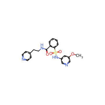 COc1cncc(NS(=O)(=O)c2ccccc2C(=O)NCCc2ccncc2)c1